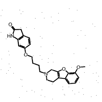 COc1cccc2c3c(oc12)CN(CCCCOc1ccc2c(c1)NC(=O)C2)CC3